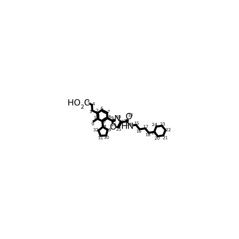 Cc1c(CCC(=O)O)ccc(-c2nc(C(=O)NCCCCC3CCCCC3)co2)c1C1CCCC1